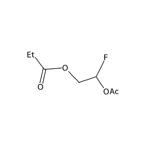 CCC(=O)OCC(F)OC(C)=O